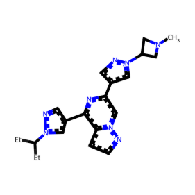 CCC(CC)n1cc(-c2nc(-c3cnn(C4CN(C)C4)c3)cn3nccc23)cn1